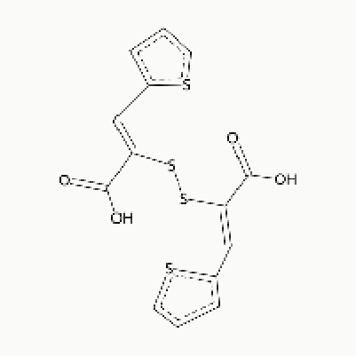 O=C(O)/C(=C/c1cccs1)SS/C(=C\c1cccs1)C(=O)O